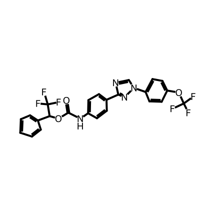 O=C(Nc1ccc(-c2ncn(-c3ccc(OC(F)(F)F)cc3)n2)cc1)OC(c1ccccc1)C(F)(F)F